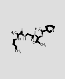 C=C/C=C\NC(C)C(=O)NCC(=O)N/C(SC(C)c1cccnc1)=C(/C)Cl